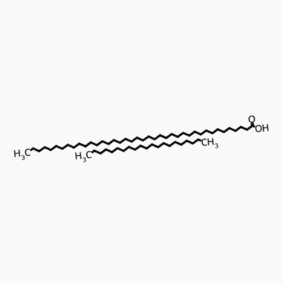 CCCCCCCCCCCCCCCCCCCCC.CCCCCCCCCCCCCCCCCCCCCCCCCCCCCCCCCCCCCCCC(=O)O